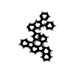 c1ccc(-c2nc3cccc(-c4cccc(-n5c6ccccc6c6ccc7c8c9ccccc9ccc8n(-c8ccccc8)c7c65)c4)c3nc2-c2ccccc2)cc1